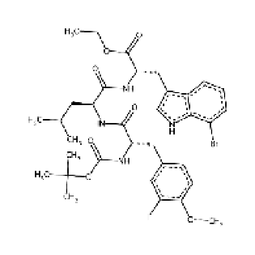 CCOC(=O)[C@H](Cc1c[nH]c2c(Br)cccc12)NC(=O)[C@H](CC(C)C)NC(=O)[C@H](Cc1ccc(OC)c(I)c1)NC(=O)OC(C)(C)C